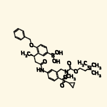 C[C@H](CC(=O)Nc1ccc(S(=O)(=O)C2CC2)c(CN(C)C(=O)OCC[Si](C)(C)C)c1)c1cc(B(O)O)ccc1OCc1ccccc1